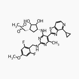 COc1cc(F)c(CNc2nc(C)c(-c3nc4c(C5CC5)nccc4s3)c(N[C@@H]3C[C@H](CS(C)(=O)=O)[C@@H](O)[C@H]3O)n2)c(F)c1